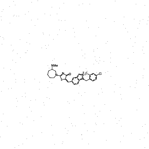 CNC1CCCCN(C2=NC(=O)C(=Cc3ccc4c(cnn4Cc4ccc(Cl)cc4C(F)(F)F)c3)S2)C1